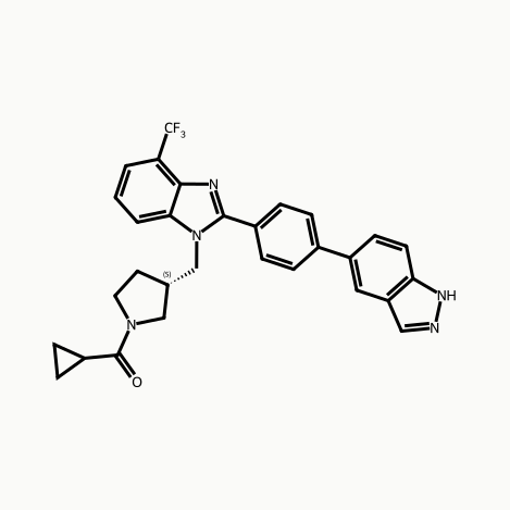 O=C(C1CC1)N1CC[C@H](Cn2c(-c3ccc(-c4ccc5[nH]ncc5c4)cc3)nc3c(C(F)(F)F)cccc32)C1